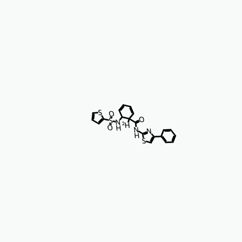 [2H]C1(C(=O)Nc2nc(-c3ccccc3)cs2)C=CC=CC1NS(=O)(=O)c1cccs1